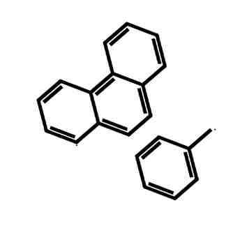 [CH2]c1ccccc1.[c]1cccc2c1ccc1ccccc12